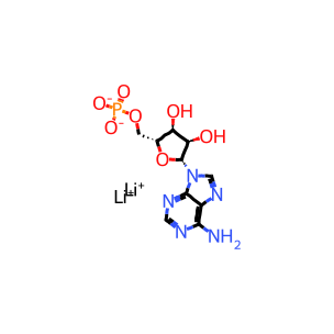 Nc1ncnc2c1ncn2[C@@H]1O[C@H](COP(=O)([O-])[O-])[C@@H](O)[C@H]1O.[Li+].[Li+]